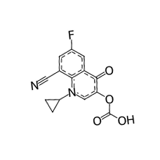 N#Cc1cc(F)cc2c(=O)c(OC(=O)O)cn(C3CC3)c12